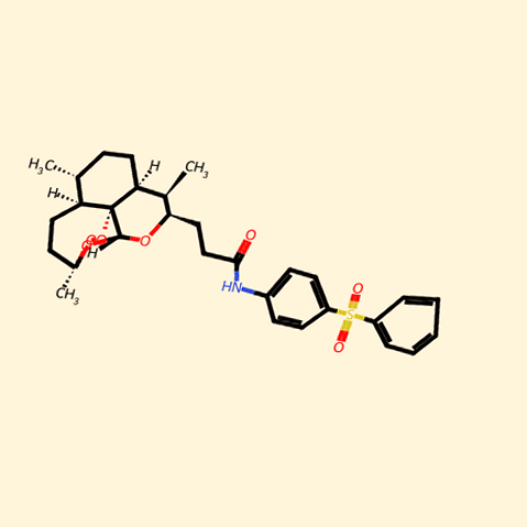 C[C@H]1[C@@H](CCC(=O)Nc2ccc(S(=O)(=O)c3ccccc3)cc2)O[C@@H]2O[C@]3(C)CC[C@H]4[C@H](C)CC[C@@H]1[C@@]24OO3